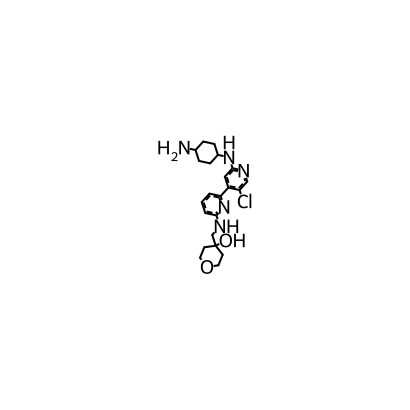 NC1CCC(Nc2cc(-c3cccc(NCC4(O)CCOCC4)n3)c(Cl)cn2)CC1